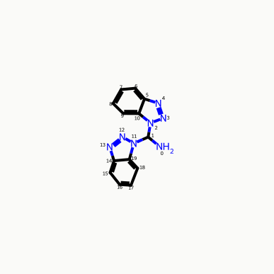 NC(n1nnc2ccccc21)n1nnc2ccccc21